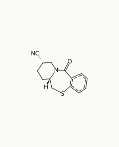 N#C[C@H]1CC[C@H]2CSc3ccccc3C(=O)N2C1